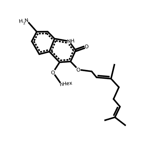 CCCCCCOc1c(OC/C=C(\C)CCC=C(C)C)c(=O)[nH]c2cc(N)ccc12